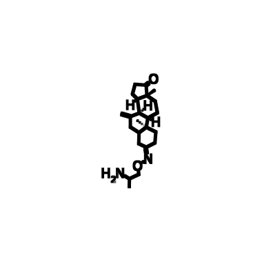 C=C1CC2CC(=NOCC(C)N)CC[C@]2(C)[C@H]2CC[C@@]3(C)C(=O)CC[C@H]3[C@H]12